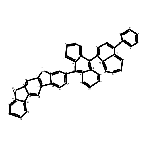 c1ccc(-c2ccc(-c3c4ccccc4c(-c4ccc5c(c4)oc4cc6oc7ccccc7c6cc45)c4ccccc34)c3ccccc23)cc1